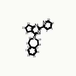 c1ccc(-c2nc3c(c(N4CCc5ccccc5CC4)n2)CCC3)nc1